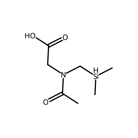 CC(=O)N(CC(=O)O)C[SiH](C)C